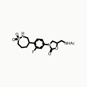 CC(=O)NCC1CN(c2ccc(C3CCCS(=O)(=O)NC3)c(F)c2)C(=O)O1